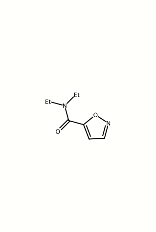 CCN(CC)C(=O)c1ccno1